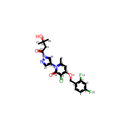 Cc1cc(OCc2ccc(F)cc2F)c(Cl)c(=O)n1-c1cnn(C(=O)CC(C)(C)O)c1